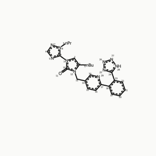 CCCCc1cn(-c2ncnn2CCC)c(=O)n1Cc1ccc(-c2ccccc2-c2nnn[nH]2)nc1